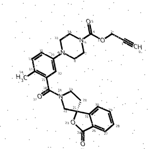 C#CCOC(=O)N1CCN(c2ccc(C)c(C(=O)N3CC[C@@]4(C3)OC(=O)c3ccccc34)c2)CC1